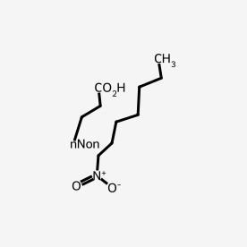 CCCCCCCCCCCC(=O)O.CCCCCCC[N+](=O)[O-]